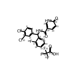 O=C(NC(c1ccc(Cl)c(Cl)c1)c1ncccc1F)c1ccc(=O)[nH]c1.O=C(O)C(F)(F)F